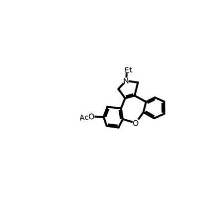 CCN1CC2=C(C1)c1cc(OC(C)=O)ccc1Oc1ccccc12